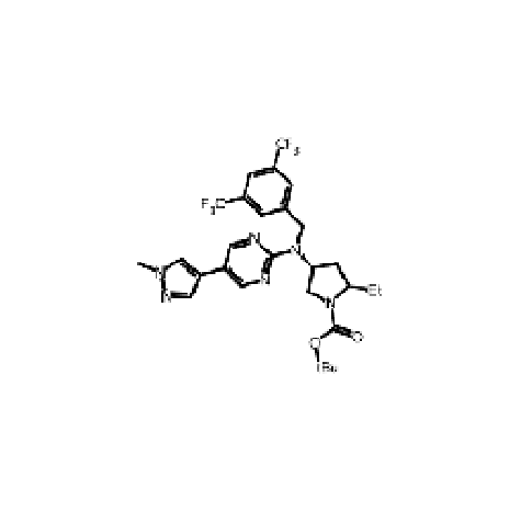 CC[C@@H]1C[C@H](N(Cc2cc(C(F)(F)F)cc(C(F)(F)F)c2)c2ncc(-c3cnn(C)c3)cn2)CN1C(=O)OC(C)(C)C